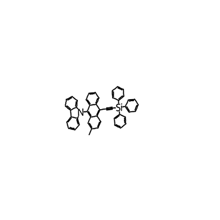 Cc1ccc2c(C#C[Si](c3ccccc3)(c3ccccc3)c3ccccc3)c3ccccc3c(-n3c4ccccc4c4ccccc43)c2c1